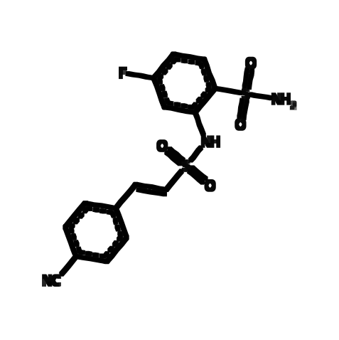 N#Cc1ccc(C=CS(=O)(=O)Nc2cc(F)ccc2S(N)(=O)=O)cc1